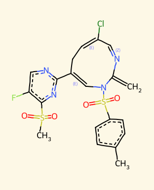 C=C1/N=C\C(Cl)=C/C/C(c2ncc(F)c(S(C)(=O)=O)n2)=C\N1S(=O)(=O)c1ccc(C)cc1